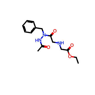 CCOC(=O)CNCC(=O)N(Cc1ccccc1)NC(C)=O